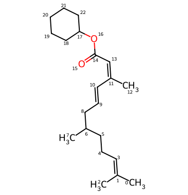 CC(C)=CCCC(C)CC=CC(C)=CC(=O)OC1CCCCC1